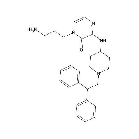 NCCCn1ccnc(NC2CCN(CC(c3ccccc3)c3ccccc3)CC2)c1=O